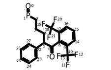 O=PCCCC(C(=O)c1c(C(F)(F)F)cccc1C(F)(F)F)c1ccccc1